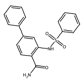 NC(=O)c1ccc(-c2ccccc2)cc1NS(=O)(=O)c1ccccc1